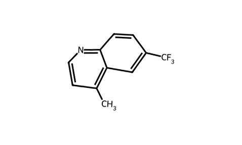 Cc1ccnc2ccc(C(F)(F)F)cc12